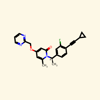 Cc1cc(OCc2ncccn2)cc(=O)n1[C@H](C)c1ccc(C#CC2CC2)c(F)c1